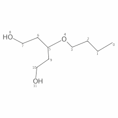 CCCCOC(CCO)CCO